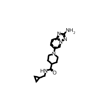 Nc1nc2ccc(N3CCC(C(=O)NCC4CC4)CC3)cn2n1